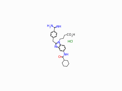 Cl.N=C(N)c1ccc(Cc2nc3cc(NC(=O)C4CCCCC4)ccc3n2CCCC(=O)O)cc1